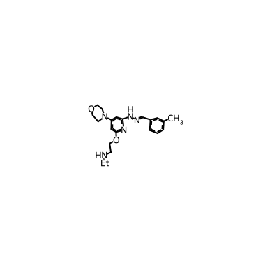 CCNCCOc1cc(N2CCOCC2)cc(NN=Cc2cccc(C)c2)n1